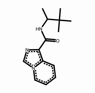 CC(NC(=O)c1ncn2ccccc12)C(C)(C)C